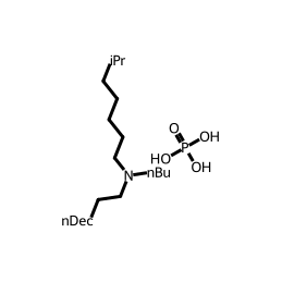 CCCCCCCCCCCCN(CCCC)CCCCCC(C)C.O=P(O)(O)O